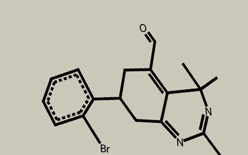 CC1(C)N=C(N)N=C2CC(c3ccccc3Br)CC(C=O)=C21